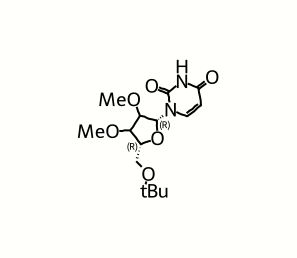 COC1C(OC)[C@@H](COC(C)(C)C)O[C@H]1n1ccc(=O)[nH]c1=O